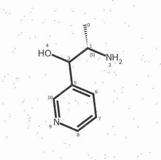 C[C@H](N)C(O)c1cccnc1